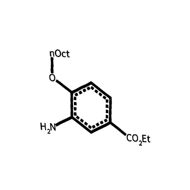 CCCCCCCCOc1ccc(C(=O)OCC)cc1N